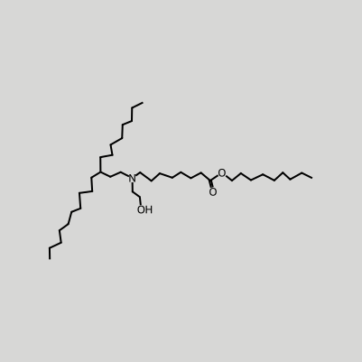 CCCCCCCCCCC(CCCCCCCC)CCN(CCO)CCCCCCCC(=O)OCCCCCCCCC